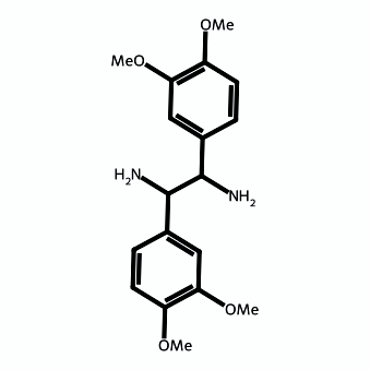 COc1ccc(C(N)C(N)c2ccc(OC)c(OC)c2)cc1OC